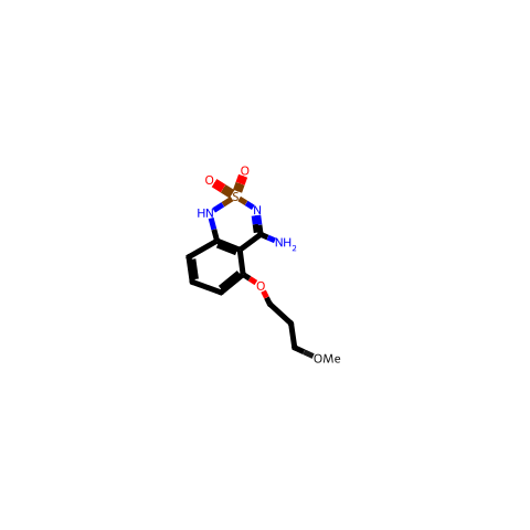 COCCCOc1cccc2c1C(N)=NS(=O)(=O)N2